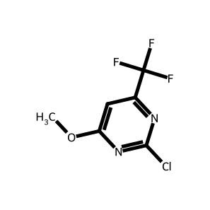 COc1cc(C(F)(F)F)nc(Cl)n1